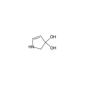 OC1(O)C=CNC1